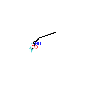 CCCCCCCCCCCCC#Cc1cc(F)c(C(=O)OCC(F)(F)F)[nH]1